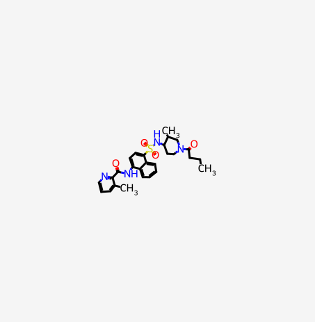 CCCC(=O)N1CCC(NS(=O)(=O)c2ccc(NC(=O)c3ncccc3C)c3ccccc23)C(C)C1